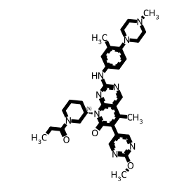 CCC(=O)N1CCC[C@H](n2c(=O)c(-c3cnc(OC)nc3)c(C)c3cnc(Nc4ccc(N5CCN(C)CC5)c(C)c4)nc32)C1